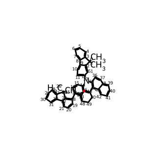 CC1(C)c2ccccc2-c2ccc(N(c3ccc(-c4cccc5c4C(C)(C)c4ccccc4-5)cc3)c3ccc4ccccc4c3C3=CC=CCC3)cc21